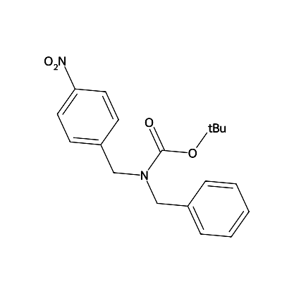 CC(C)(C)OC(=O)N(Cc1ccccc1)Cc1ccc([N+](=O)[O-])cc1